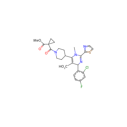 COC(=O)C1(C(=O)N2CCC(C3=C(C(=O)O)C(c4ccc(F)cc4Cl)N=C(c4nccs4)N3C)CC2)CC1